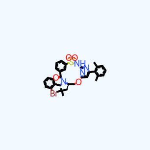 Cc1cccc(C)c1-c1cc2nc(n1)NS(=O)(=O)c1cccc(c1)C(=O)N(Cc1ccccc1Br)[C@H](CC(C)(C)C)CO2